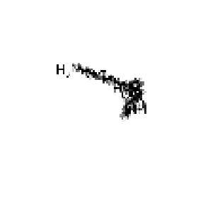 NCCCOCCOCCOCCCNc1cccc2cnn(C3CCC(=O)NC3=O)c(=O)c12